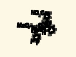 COCCN1C[C@@H](NC(=O)Nc2c(C)c(-c3ccnc(C(=O)O)c3)nn2-c2ccccc2)[C@H](c2ccc(F)c(F)c2)O1